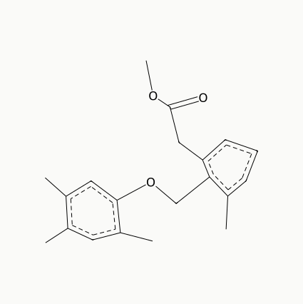 COC(=O)Cc1cccc(C)c1COc1cc(C)c(C)cc1C